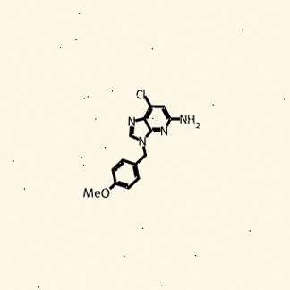 COc1ccc(Cn2cnc3c(Cl)cc(N)nc32)cc1